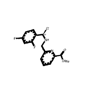 CC[C@@H](NCc1cccc(C(=O)OC)n1)c1ccc(F)cc1F